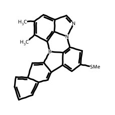 CSc1cc2c3c(c1)-n1ncc4cc(C)c(C)c(c41)B3c1cc3ccccc3cc1-2